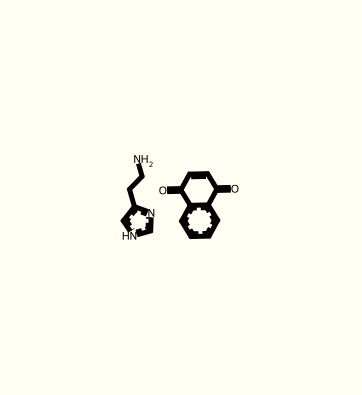 NCCc1c[nH]cn1.O=C1C=CC(=O)c2ccccc21